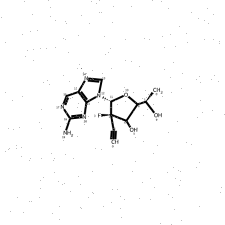 C#C[C@@]1(F)C(O)C([C@@H](C)O)O[C@H]1n1cnc2cnc(N)nc21